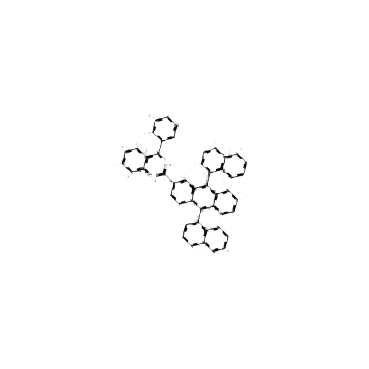 c1ccc(-c2nc(-c3ccc4c(-c5cccc6ccccc56)c5ccccc5c(-c5cccc6ccccc56)c4c3)nc3ccccc23)cc1